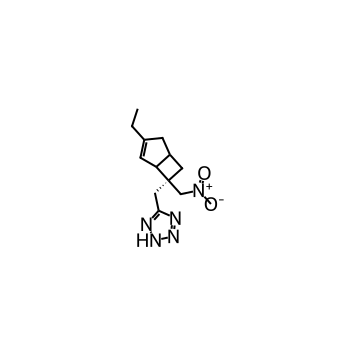 CCC1=CC2C(C1)C[C@@]2(Cc1nn[nH]n1)C[N+](=O)[O-]